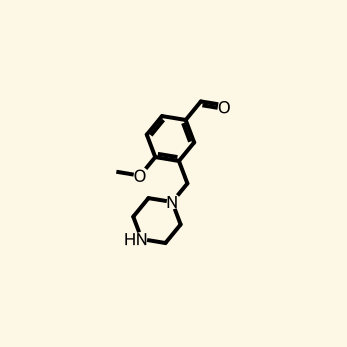 COc1ccc(C=O)cc1CN1CCNCC1